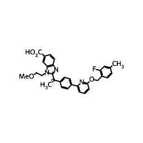 COCCn1c([C@@H](C)c2ccc(-c3cccc(OCc4ccc(C)cc4F)n3)cc2)nc2ccc(C(=O)O)cc21